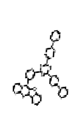 c1ccc(-c2ccc(-c3nc(-c4ccc(-c5ccccc5)cc4)nc(-c4cccc(-c5c6ccccc6nc6c5oc5ccccc56)c4)n3)cc2)cc1